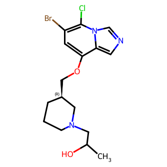 CC(O)CN1CCC[C@@H](COc2cc(Br)c(Cl)n3cncc23)C1